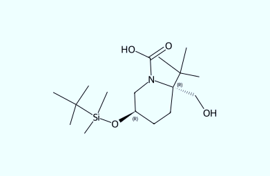 CC(C)(C)[C@@]1(CO)CC[C@@H](O[Si](C)(C)C(C)(C)C)CN1C(=O)O